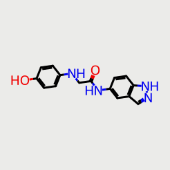 O=C(CNc1ccc(O)cc1)Nc1ccc2[nH]ncc2c1